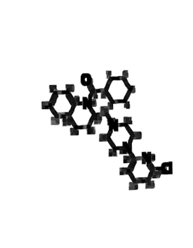 O=C(C1CCCCC1)N1c2ccccc2CCC1CN1CCN(c2cccc(Cl)n2)CC1